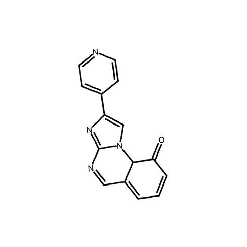 O=C1C=CC=C2C=Nc3nc(-c4ccncc4)cn3C12